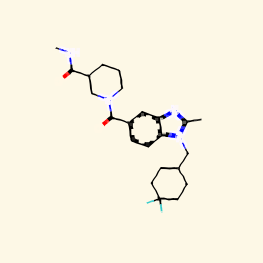 CCNC(=O)C1CCCN(C(=O)c2ccc3c(c2)nc(C(C)(C)C)n3CC2CCC(F)(F)CC2)C1